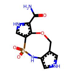 NC(=O)c1[nH]cc2c1OCc1c[nH]cc1NS2(=O)=O